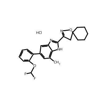 Cc1cc(-c2ccccc2OC(F)F)cc2nc(C3=NOC4(CCCCC4)C3)[nH]c12.Cl